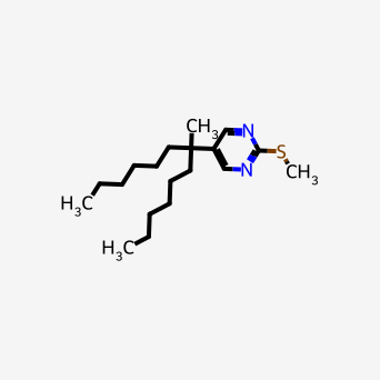 CCCCCCC(C)(CCCCCC)c1cnc(SC)nc1